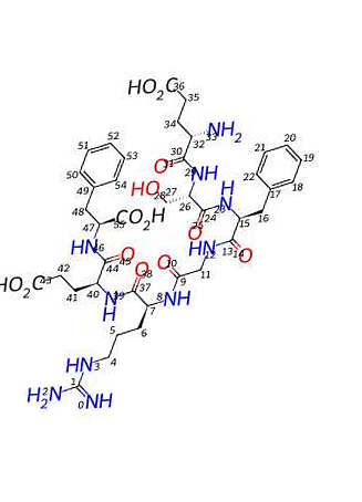 N=C(N)NCCC[C@H](NC(=O)CNC(=O)[C@H](Cc1ccccc1)NC(=O)[C@H](CO)NC(=O)[C@@H](N)CCC(=O)O)C(=O)N[C@@H](CCC(=O)O)C(=O)N[C@@H](Cc1ccccc1)C(=O)O